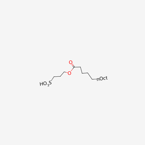 CCCCCCCCCCCCC(=O)OCCCS(=O)(=O)O